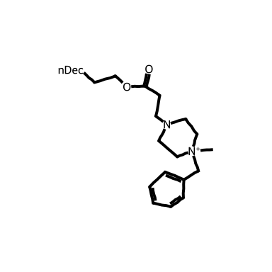 CCCCCCCCCCCCOC(=O)CCN1CC[N+](C)(Cc2ccccc2)CC1